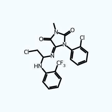 CN1C(=O)C(=NC(CCl)Nc2ccccc2C(F)(F)F)N(c2ccccc2Cl)C1=O